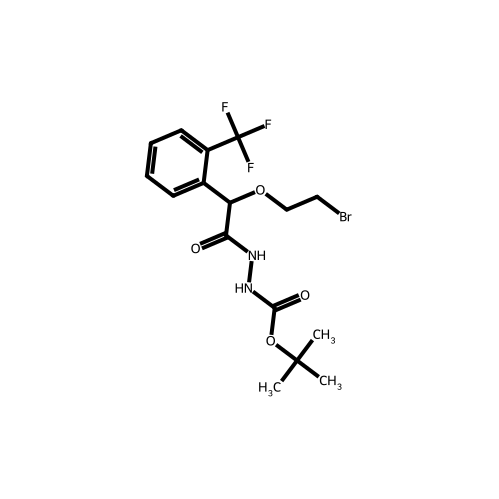 CC(C)(C)OC(=O)NNC(=O)C(OCCBr)c1ccccc1C(F)(F)F